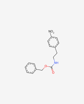 O=C(NCCc1ccc([N+](=O)[O-])cc1)OCc1ccccc1